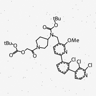 COc1nc(-c2cccc(-c3ccnc(Cl)c3Cl)c2Cl)ccc1CN(C(=O)OC(C)(C)C)C1CCN(C(=O)COC(=O)OC(C)(C)C)CC1